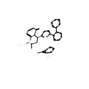 CC1CC(c2ccc(-c3ccccc3-c3ccccc3)o2)C2C(=O)C=CC=C2N1C(=O)O.Cc1c2cccc1-2.N